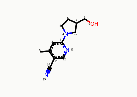 Cc1cc(N2CCC(CO)C2)ncc1C#N